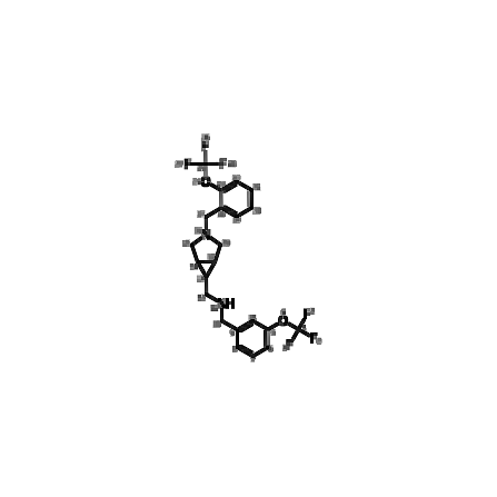 FC(F)(F)Oc1cccc(CNCC2C3CN(Cc4ccccc4OC(F)(F)F)CC23)c1